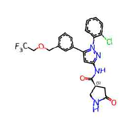 O=C1C[C@H](C(=O)Nc2cc(-c3cccc(COCC(F)(F)F)c3)n(-c3ccccc3Cl)n2)CN1